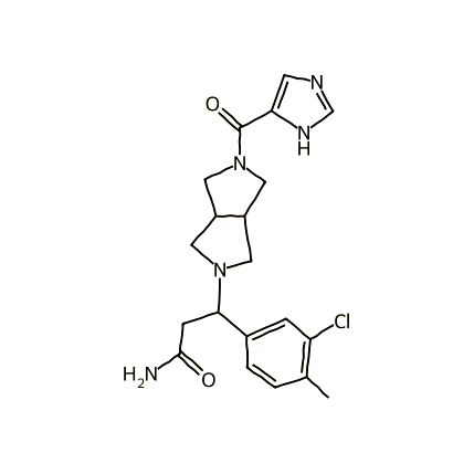 Cc1ccc(C(CC(N)=O)N2CC3CN(C(=O)c4cnc[nH]4)CC3C2)cc1Cl